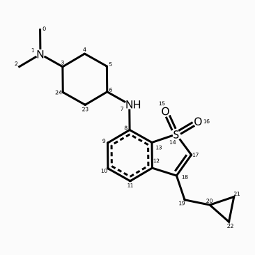 CN(C)C1CCC(Nc2cccc3c2S(=O)(=O)C=C3CC2CC2)CC1